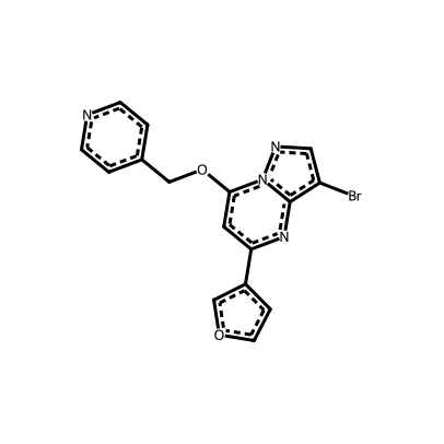 Brc1cnn2c(OCc3ccncc3)cc(-c3ccoc3)nc12